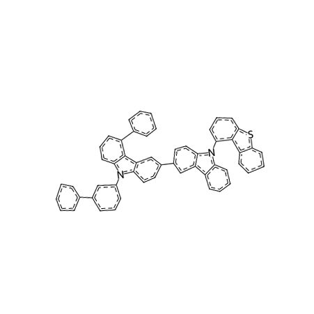 c1ccc(-c2cccc(-n3c4ccc(-c5ccc6c(c5)c5ccccc5n6-c5cccc6sc7ccccc7c56)cc4c4c(-c5ccccc5)cccc43)c2)cc1